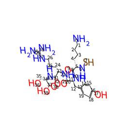 NCCCC[C@H](NS)C(=O)N[C@@H](Cc1ccc(O)cc1)C(=O)N[C@@H](CCCNC(N)N)C(=O)N[C@@H](CO)C(=O)O